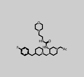 CC(=O)CN1CC[C@@H](CN2CCCC(Cc3ccc(F)cc3)C2)[C@@H](NC(=O)NCCN2CCOCC2)C1